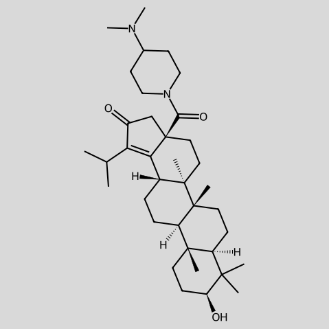 CC(C)C1=C2[C@H]3CC[C@@H]4[C@@]5(C)CC[C@H](O)C(C)(C)[C@@H]5CC[C@@]4(C)[C@]3(C)CC[C@@]2(C(=O)N2CCC(N(C)C)CC2)CC1=O